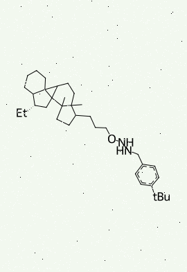 CC[C@H]1CC23C(CCC4(C)C(CCCONNCc5ccc(C(C)(C)C)cc5)CCC42C)C32CCCCC12